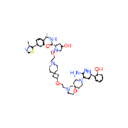 Cc1ncsc1-c1ccc([C@H](C)NC(=O)[C@@H]2C[C@@H](O)CN2OCCN2CCC3(CC2)CC(OCCN2CCOC4(CCN(c5cc(-c6ccccc6O)nnc5N)CC4)C2)C3)cc1